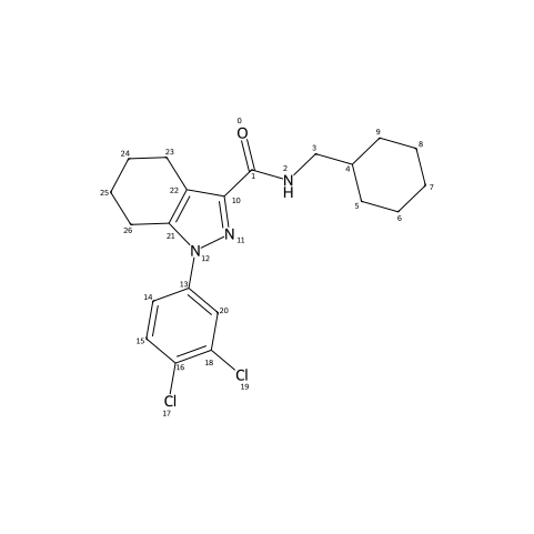 O=C(NCC1CCCCC1)c1nn(-c2ccc(Cl)c(Cl)c2)c2c1CCCC2